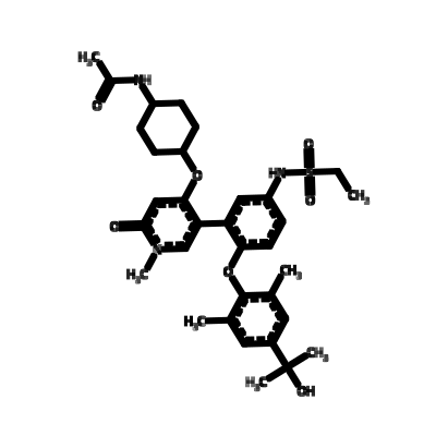 CCS(=O)(=O)Nc1ccc(Oc2c(C)cc(C(C)(C)O)cc2C)c(-c2cn(C)c(=O)cc2OC2CCC(NC(C)=O)CC2)c1